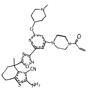 C=CC(=O)N1CCN(c2cc(OC3CCN(C)CC3)nc(-c3noc(C4(C)CCCc5sc(N)c(C#N)c54)n3)c2)CC1